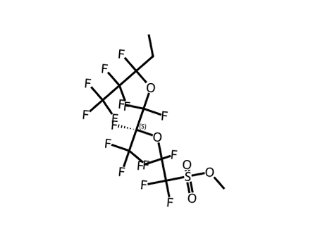 CCC(F)(OC(F)(F)[C@@](F)(OC(F)(F)C(F)(F)S(=O)(=O)OC)C(F)(F)F)C(F)(F)C(F)(F)F